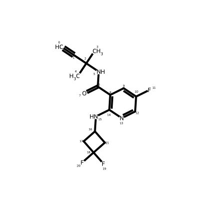 C#CC(C)(C)NC(=O)c1cc(F)cnc1NC1CC(F)(F)C1